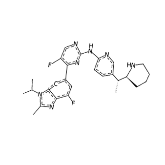 Cc1nc2c(F)cc(-c3nc(Nc4ccc([C@@H](C)[C@@H]5CCCCN5)cn4)ncc3F)cc2n1C(C)C